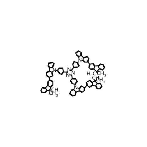 CC1(C)c2ccccc2-c2cc(-c3ccc4c5ccccc5n(-c5ccc(-c6nc(-c7ccc(-n8c9ccccc9c9ccc(-c%10ccc%11c(c%10)-c%10ccccc%10C%11(C)C)cc98)cc7)nc(-c7ccc(-n8c9ccccc9c9ccc(-c%10ccc%11c(c%10)-c%10ccccc%10C%11(C)C)cc98)cc7)n6)cc5)c4c3)ccc21